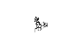 C[Si](C)(C)OC(=O)[C@@H]1C[C@H](O[Si](C)(C)C)CN1C(=O)CI